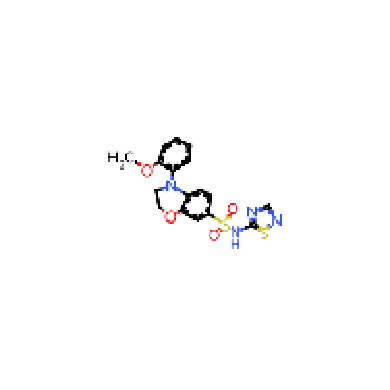 COc1ccccc1N1CCOc2cc(S(=O)(=O)Nc3ncns3)ccc21